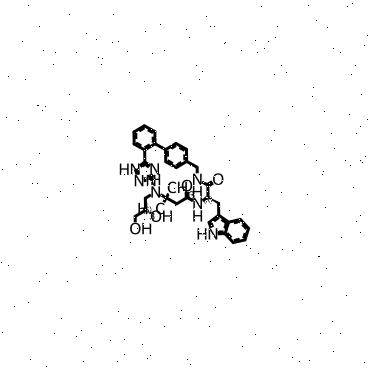 CC(C)(CC(=O)N[C@H](Cc1c[nH]c2ccccc12)C(=O)NCc1ccc(-c2ccccc2-c2nnn[nH]2)cc1)NC[C@H](O)CO